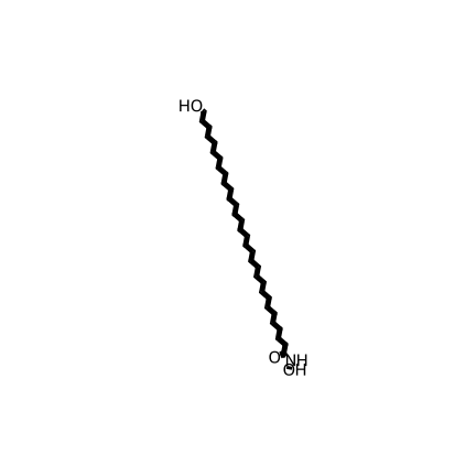 O=C(CCCCCCCCCCCCCCCCCCCCCCCCCCCCCCCO)NO